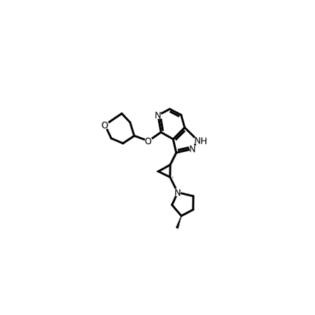 C[C@@H]1CCN([C]2CC2c2n[nH]c3ccnc(OC4CCOCC4)c23)C1